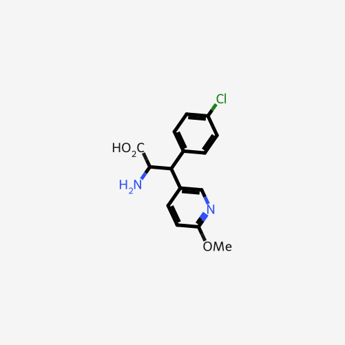 COc1ccc(C(c2ccc(Cl)cc2)C(N)C(=O)O)cn1